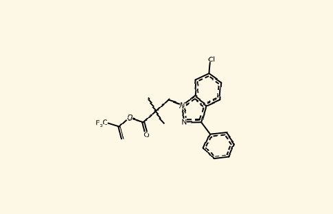 C=C(OC(=O)C(C)(C)Cn1nc(-c2ccccc2)c2ccc(Cl)cc21)C(F)(F)F